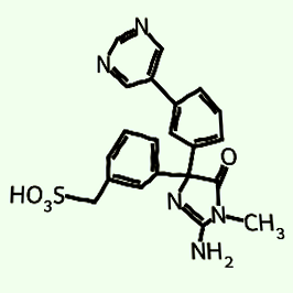 CN1C(=O)C(c2cccc(CS(=O)(=O)O)c2)(c2cccc(-c3cncnc3)c2)N=C1N